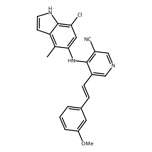 COc1cccc(C=Cc2cncc(C#N)c2Nc2cc(Cl)c3[nH]ccc3c2C)c1